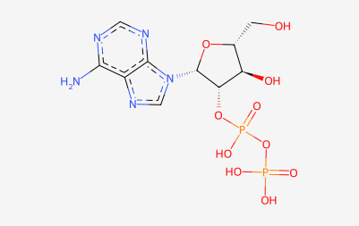 Nc1ncnc2c1ncn2[C@@H]1O[C@H](CO)[C@@H](O)[C@@H]1OP(=O)(O)OP(=O)(O)O